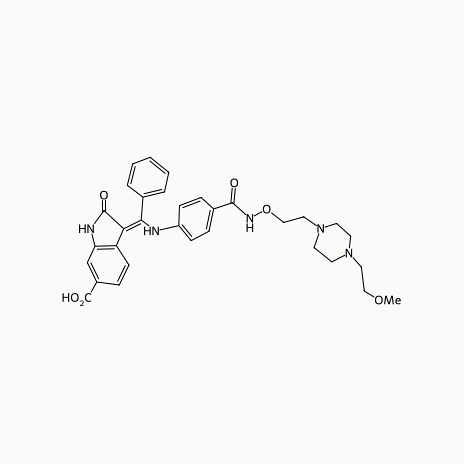 COCCN1CCN(CCONC(=O)c2ccc(N/C(=C3/C(=O)Nc4cc(C(=O)O)ccc43)c3ccccc3)cc2)CC1